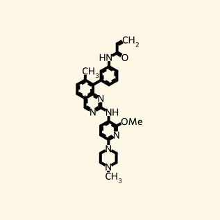 C=CC(=O)Nc1cccc(-c2c(C)ccc3cnc(Nc4ccc(N5CCN(C)CC5)nc4OC)nc23)c1